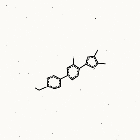 CCc1ccc(-c2ccc(-c3cc(C)c(C)s3)c(F)c2)cc1